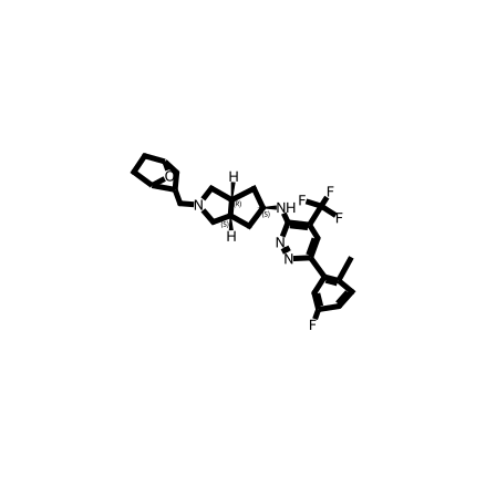 Cc1ccc(F)cc1-c1cc(C(F)(F)F)c(N[C@H]2C[C@@H]3CN(CC4CC5CCC4O5)C[C@@H]3C2)nn1